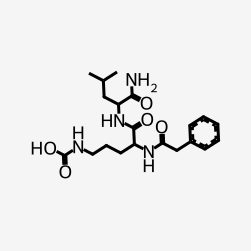 CC(C)CC(NC(=O)C(CCCNC(=O)O)NC(=O)Cc1ccccc1)C(N)=O